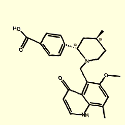 COc1cc(C)c2[nH]ccc(=O)c2c1CN1CC[C@H](C)C[C@H]1c1ccc(C(=O)O)cc1